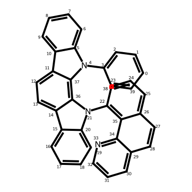 c1ccc(-n2c3ccccc3c3ccc4c5ccccc5n(-c5cccc6ccc7cccnc7c56)c4c32)cc1